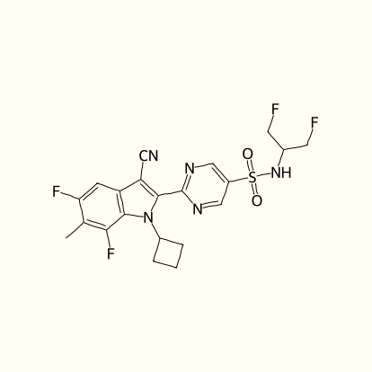 Cc1c(F)cc2c(C#N)c(-c3ncc(S(=O)(=O)NC(CF)CF)cn3)n(C3CCC3)c2c1F